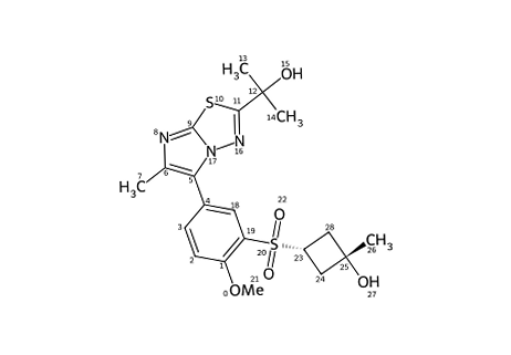 COc1ccc(-c2c(C)nc3sc(C(C)(C)O)nn23)cc1S(=O)(=O)[C@H]1C[C@@](C)(O)C1